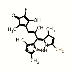 CC1=CC(C)C2=C(/C(C)=C/C3=C(C)C(=O)C(F)=C3O)c3c(C)cc(C)n3BN12